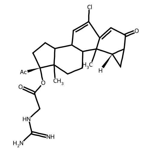 CC(=O)[C@@]1(OC(=O)CNC(=N)N)CCC2C3C=C(Cl)C4=CC(=O)C5C[C@@H]5C4(C)C3CCC21C